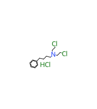 Cl.ClCCN(CCCl)CCCCc1ccccc1